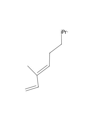 C=C/C(C)=C/CC[C](C)C